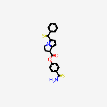 NC(=S)c1ccc(OC(=O)C2CCn3c(C(=S)c4ccccc4)ccc32)cc1